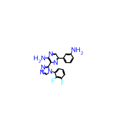 Nc1cccc(-c2cnc(N)c(-c3nncn3-c3cccc(F)c3F)n2)c1